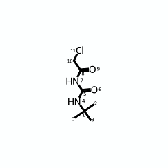 CC(C)(C)NC(=O)NC(=O)CCl